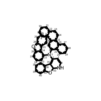 C1=CC(N(c2cc3c4ccccc4ccc3c3ccccc23)c2cccc3oc4cnccc4c23)=C2c3ccccc3OC2N1